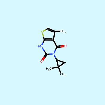 Cc1csc2[nH]c(=O)n(C3CC3(C)C)c(=O)c12